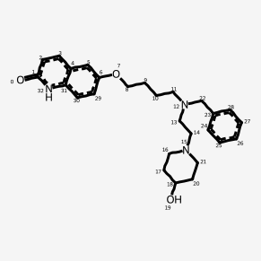 O=c1ccc2cc(OCCCCN(CCN3CCC(O)CC3)Cc3ccccc3)ccc2[nH]1